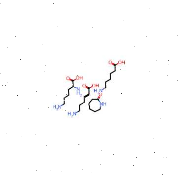 NCCCC=CC(=O)O.NCCCCCC(=O)O.NCCCC[C@H](N)C(=O)O.O=C1CCCCCN1